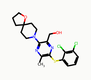 Cc1nc(N2CCC3(CCCO3)CC2)c(CO)nc1Sc1cccc(Cl)c1Cl